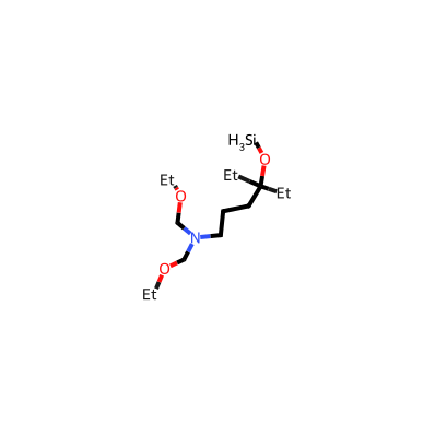 CCOCN(CCCC(CC)(CC)O[SiH3])COCC